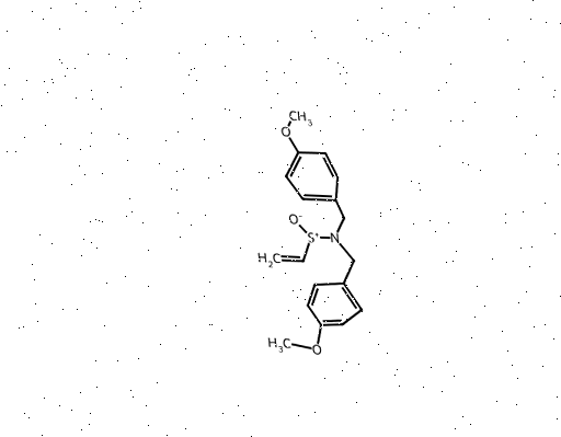 C=C[S+]([O-])N(Cc1ccc(OC)cc1)Cc1ccc(OC)cc1